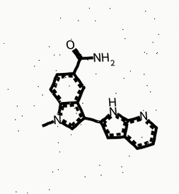 Cn1cc(-c2cc3cccnc3[nH]2)c2cc(C(N)=O)ccc21